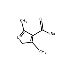 CC1=NCC(C)=C1C(=O)C(C)(C)C